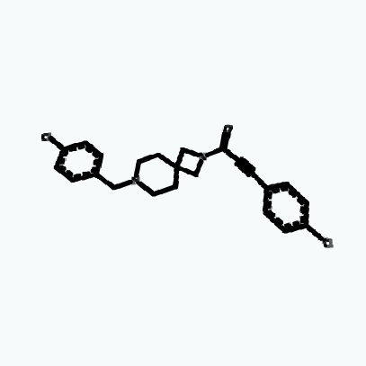 O=C(C#Cc1ccc(Cl)cc1)N1CC2(CCN(Cc3ccc(Cl)cc3)CC2)C1